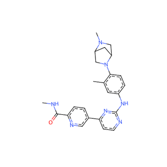 CNC(=O)c1ccc(-c2ccnc(Nc3ccc(N4CC5CC4CN5C)c(C)c3)n2)cn1